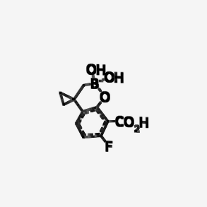 O=C(O)c1c(F)ccc2c1O[B-](O)(O)CC21CC1